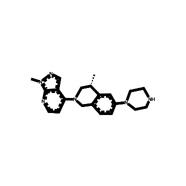 C[C@H]1CN(c2ccnc3c2cnn3C)Cc2ccc(N3CCNCC3)cc21